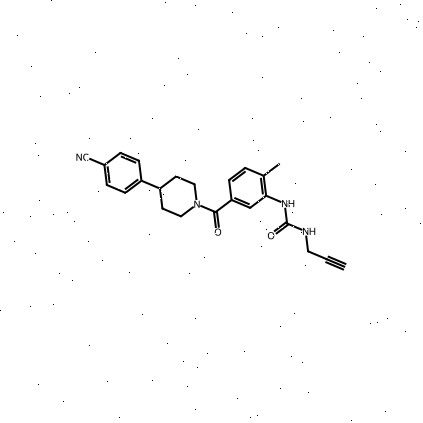 C#CCNC(=O)Nc1cc(C(=O)N2CCC(c3ccc(C#N)cc3)CC2)ccc1C